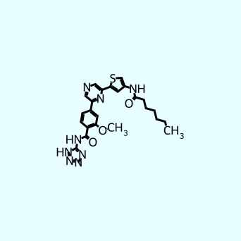 CCCCCCC(=O)Nc1csc(-c2cncc(-c3ccc(C(=O)Nc4nnn[nH]4)c(OC)c3)n2)c1